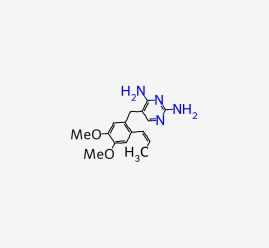 C/C=C\c1cc(OC)c(OC)cc1Cc1cnc(N)nc1N